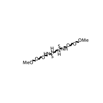 COCCOCCOCCNC(=S)NCCNC(=S)NCCOCCOCCOC